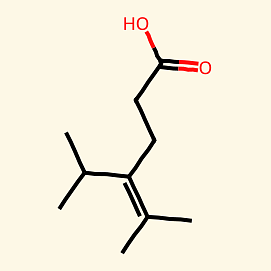 CC(C)=C(CCC(=O)O)C(C)C